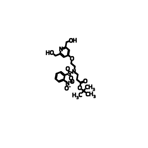 CC(C)(C)OC(=O)CCN(CCOc1cc(CO)nc(CO)c1)S(=O)(=O)c1ccccc1[N+](=O)[O-]